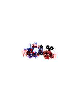 CC(c1ccccc1)C1NC(=O)CNC(=O)C(CO)NC(=O)C(C(O)C2CNC(=N)N2C2OC(CO)C(O)C(O)C2O)NC(=O)C(C(O)C2CNC(=N)N2)NC(=O)C(Cc2ccc(OC3OC(CO)C(OC4OC(COCC=C(c5ccccc5)c5ccccc5)C(O)C(O)C4O)C(O)C3O)cc2)NC1=O